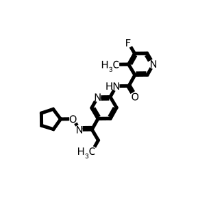 CC/C(=N/OC1CCCC1)c1ccc(NC(=O)c2cncc(F)c2C)nc1